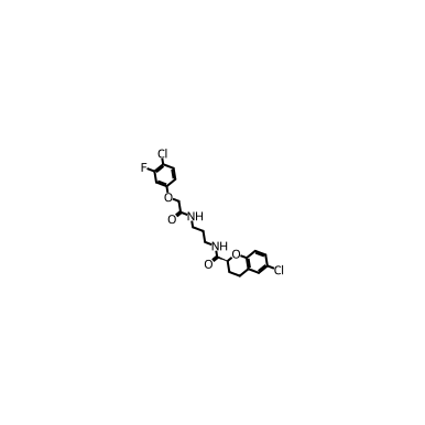 O=C(COc1ccc(Cl)c(F)c1)NCCCNC(=O)[C@@H]1CCc2cc(Cl)ccc2O1